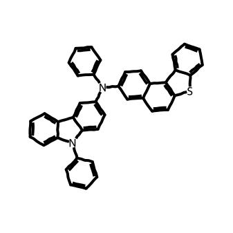 c1ccc(N(c2ccc3c(ccc4sc5ccccc5c43)c2)c2ccc3c(c2)c2ccccc2n3-c2ccccc2)cc1